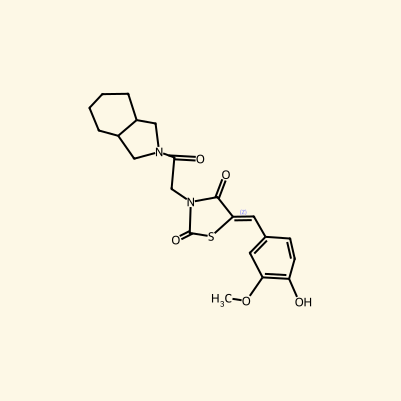 COc1cc(/C=C2\SC(=O)N(CC(=O)N3CC4CCCCC4C3)C2=O)ccc1O